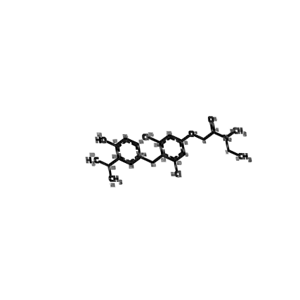 CCN(C)C(=O)COc1cc(Cl)c(Cc2ccc(O)c(C(C)C)c2)c(Cl)c1